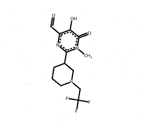 Cn1c(C2CCCN(CC(F)(F)F)C2)nc(C=O)c(O)c1=O